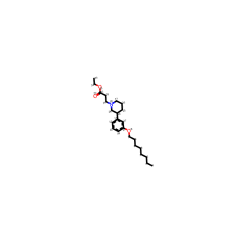 CCCCCCCCOc1cccc(C2CCCN(CCC(=O)OCC)C2)c1